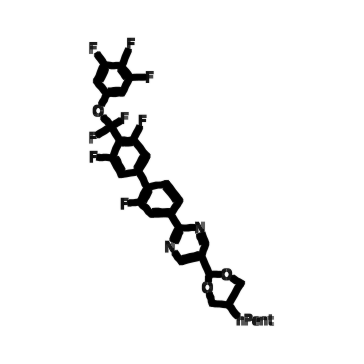 CCCCCC1COC(c2cnc(-c3ccc(-c4cc(F)c(C(F)(F)Oc5cc(F)c(F)c(F)c5)c(F)c4)c(F)c3)nc2)OC1